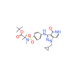 CN(C(C)(C)C(=O)OC(C)(C)C)S(=O)(=O)c1ccc(Nc2nn(CC3CC3)c3cc[nH]c(=O)c23)cc1